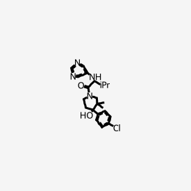 CC(C)C(Nc1cncnc1)C(=O)N1CCC(O)(c2ccc(Cl)cc2)C(C)(C)C1